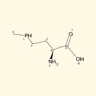 CPCC[C@H](N)C(=O)O